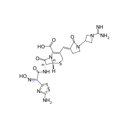 N=C(N)N1CC(N2CCC(=CC3=C(C(=O)O)N4C(=O)[C@@H](NC(=O)/C(=N\O)c5csc(N)n5)[C@H]4SC3)C2=O)C1